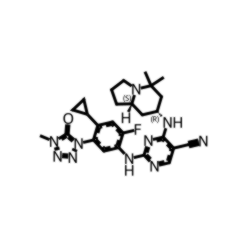 Cn1nnn(-c2cc(Nc3ncc(C#N)c(N[C@@H]4C[C@@H]5CCCN5C(C)(C)C4)n3)c(F)cc2C2CC2)c1=O